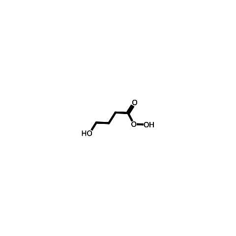 O=C(CCCO)OO